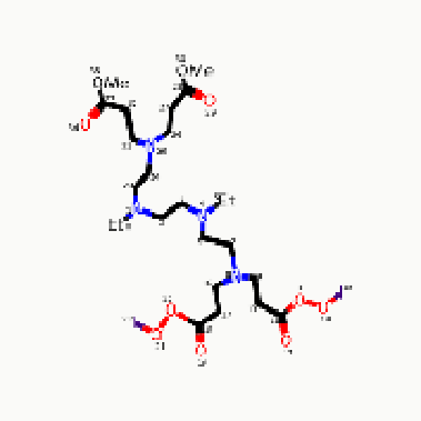 CCN(CCN(CC)CCN(CCC(=O)OOI)CCC(=O)OOI)CCN(CCC(=O)OC)CCC(=O)OC